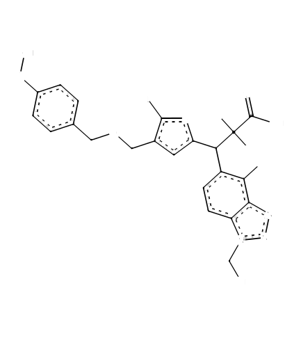 CCn1nnc2c(C)c(C(c3cc(COCc4ccc(OC)cc4)c(Cl)s3)C(C)(C)C(=O)O)ccc21